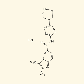 COc1c(C)nc2ccc(C(=O)Nc3ccc(C4CCNCC4)cn3)cn12.Cl